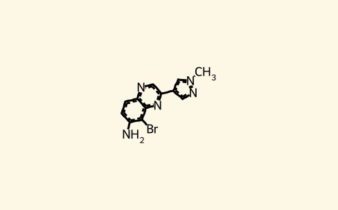 Cn1cc(-c2cnc3ccc(N)c(Br)c3n2)cn1